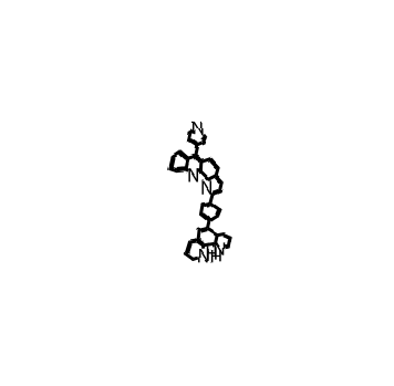 C1=CC2C(c3ccc(-c4ccc5ccc6c(-c7ccncc7)c7ccccc7nc6c5n4)cc3)=CC3=C(NCC=C3)[C@@H]2N=C1